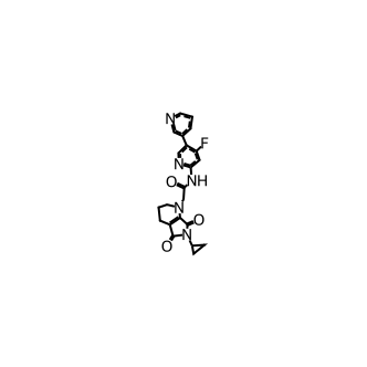 O=C(CN1CCCC2=C1C(=O)N(C1CC1)C2=O)Nc1cc(F)c(-c2cccnc2)cn1